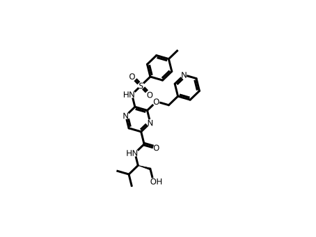 Cc1ccc(S(=O)(=O)Nc2ncc(C(=O)N[C@@H](CO)C(C)C)nc2OCc2cccnc2)cc1